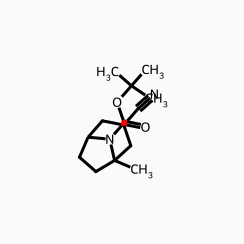 CC(C)(C)OC(=O)N1C2CCC1(C)CC(C#N)C2